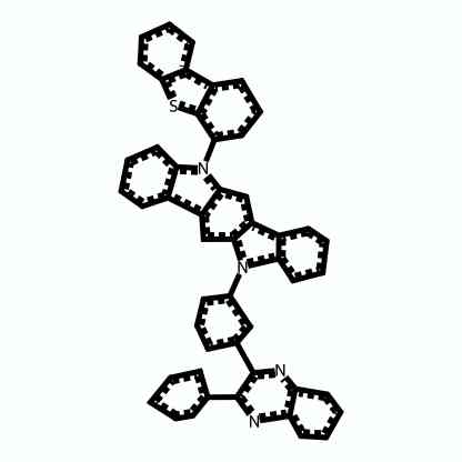 c1ccc(-c2nc3ccccc3nc2-c2cccc(-n3c4ccccc4c4cc5c(cc43)c3ccccc3n5-c3cccc4c3sc3ccccc34)c2)cc1